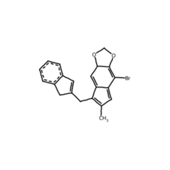 CC1=C(CC2=Cc3ccccc3C2)C2=CC3OCOC3=C(Br)C2=C1